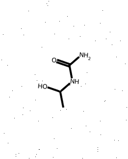 CC(O)NC(N)=O